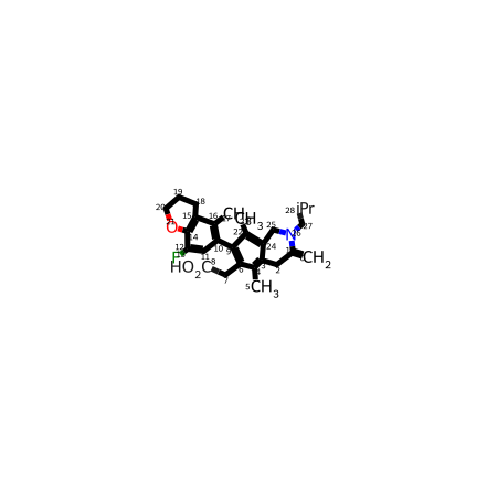 C=C1Cc2c(C)c(CC(=O)O)c(-c3cc(F)c4c(c3C)CCCO4)c(C)c2CN1CC(C)C